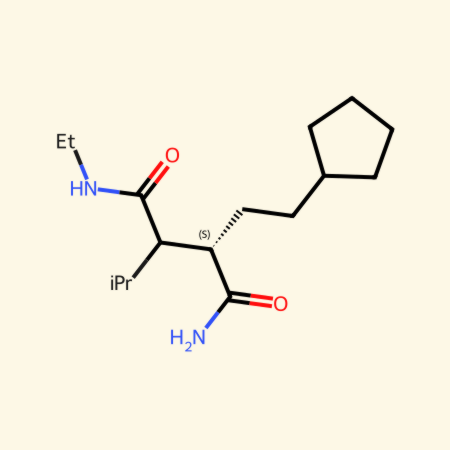 CCNC(=O)C(C(C)C)[C@H](CCC1CCCC1)C(N)=O